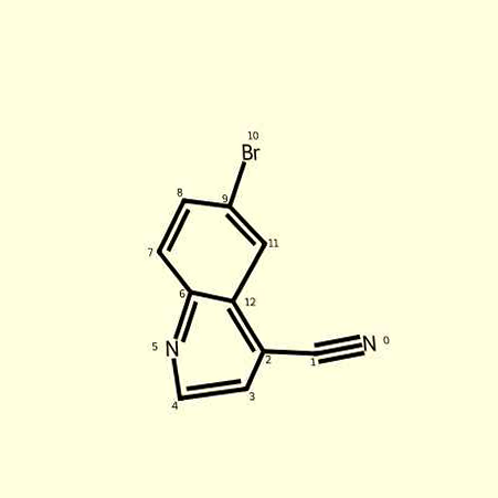 N#Cc1ccnc2ccc(Br)cc12